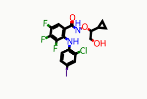 O=C(NOC(CO)C1CC1)c1cc(F)c(F)c(F)c1Nc1ccc(I)cc1Cl